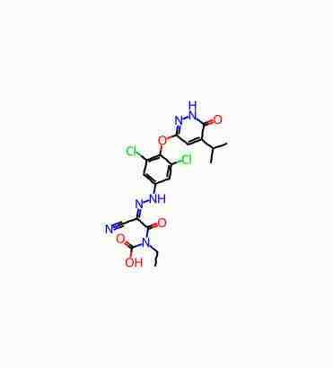 CCN(C(=O)O)C(=O)C(C#N)=NNc1cc(Cl)c(Oc2cc(C(C)C)c(=O)[nH]n2)c(Cl)c1